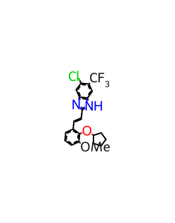 COc1cccc(/C=C/c2nc3cc(Cl)c(C(F)(F)F)cc3[nH]2)c1OC1CCCC1